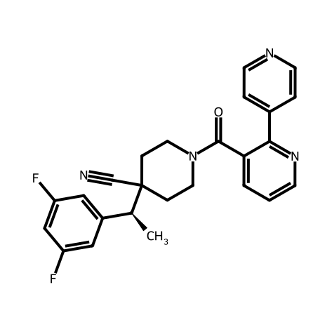 C[C@@H](c1cc(F)cc(F)c1)C1(C#N)CCN(C(=O)c2cccnc2-c2ccncc2)CC1